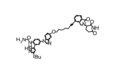 CC(C)(C)c1cc(-c2cc(-n3cnc4cc(OCCCCCC#Cc5cccc6c5CN(C5CCC(=O)NC5=O)C6=O)ccc43)ccc2NC(N)=O)[nH]n1